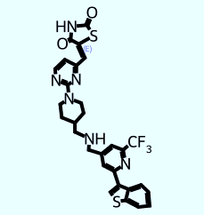 O=C1NC(=O)/C(=C\c2ccnc(N3CCC(CNCc4cc(-c5csc6ccccc56)nc(C(F)(F)F)c4)CC3)n2)S1